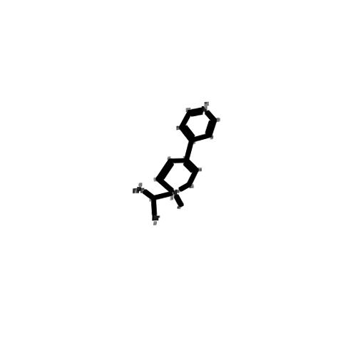 CCCC(Br)[N+]1(C)C=CC(c2ccncc2)=CC1